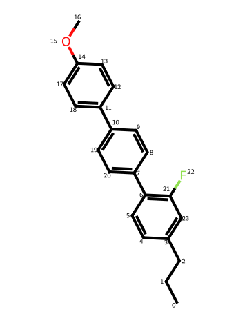 CCCc1ccc(-c2ccc(-c3ccc(OC)cc3)cc2)c(F)c1